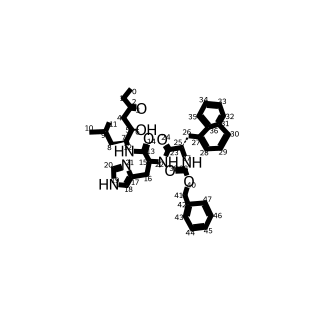 CCC(=O)C[C@H](O)[C@H](CC(C)C)NC(=O)C(Cc1c[nH]cn1)NC(=O)[C@H](Cc1cccc2ccccc12)NC(=O)OCc1ccccc1